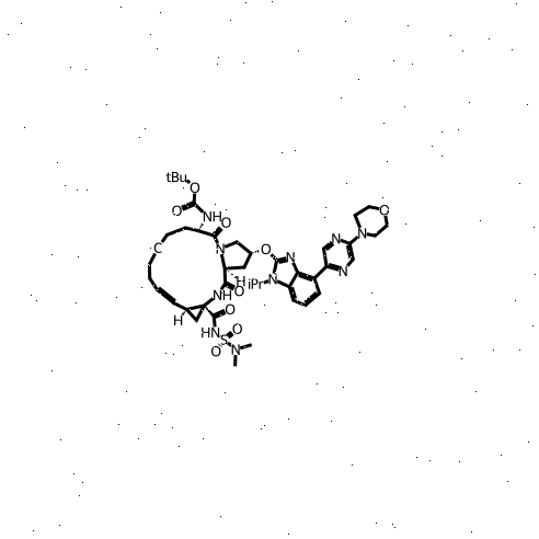 CC(C)n1c(O[C@@H]2C[C@H]3C(=O)N[C@]4(C(=O)NS(=O)(=O)N(C)C)C[C@H]4/C=C\CCCCC[C@H](NC(=O)OC(C)(C)C)C(=O)N3C2)nc2c(-c3cnc(N4CCOCC4)cn3)cccc21